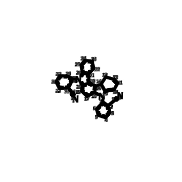 N#Cc1ccccc1N1C2=CC=CCC2c2c1ccc1c2c2ccccc2n1-c1ccccc1C#N